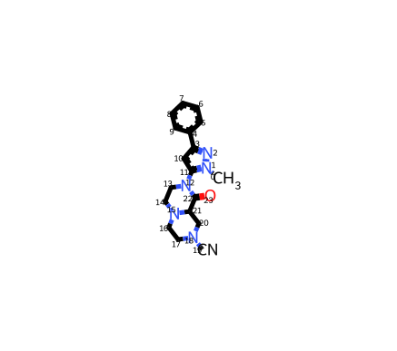 Cn1nc(-c2ccccc2)cc1N1CCN2CCN(C#N)CC2C1=O